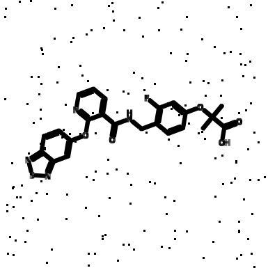 CC(C)(Oc1ccc(CNC(=O)c2cccnc2Oc2ccc3nsnc3c2)c(F)c1)C(=O)O